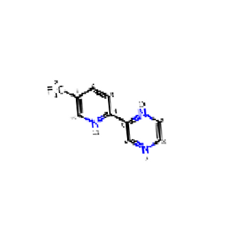 FC(F)(F)c1ccc(-c2cnccn2)nc1